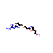 NC(N)=Nc1nc(CSCCc2ncc(CCP)o2)cs1